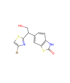 O=c1[nH]c2ccc(C(CO)c3nc(Br)cs3)cc2s1